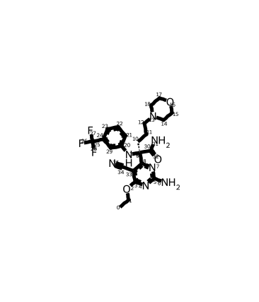 CCOc1nc(N)nc([C@@](CCCN2CCOCC2)(Nc2cccc(C(F)(F)F)c2)C(N)=O)c1C#N